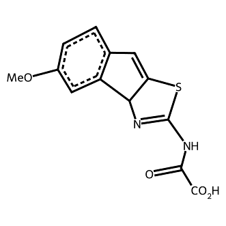 COc1ccc2c(c1)C1N=C(NC(=O)C(=O)O)SC1=C2